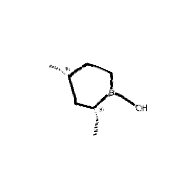 C[C@@H]1CCB(O)[C@H](C)C1